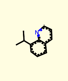 CC(C)c1cccc2cc[c]nc12